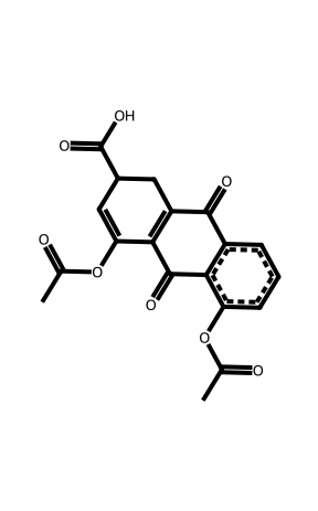 CC(=O)OC1=CC(C(=O)O)CC2=C1C(=O)c1c(OC(C)=O)cccc1C2=O